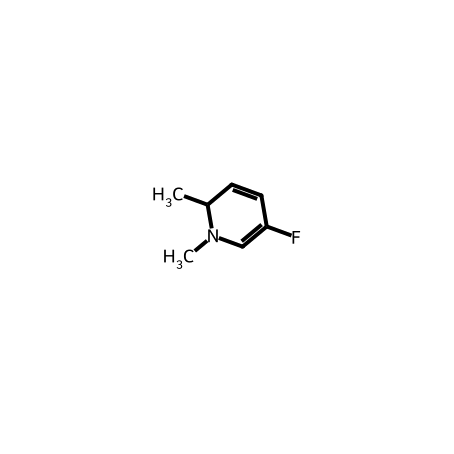 CC1C=CC(F)=CN1C